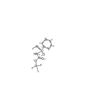 CN=S(=O)(NC(=O)OC(C)(C)C)c1ccccc1